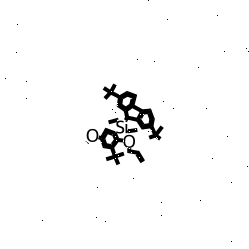 C=CCOc1c(C(C)(C)C)cc(OC)cc1[Si](CC)(CC)C1c2cc(C(C)(C)C)ccc2-c2ccc(C(C)(C)C)cc21